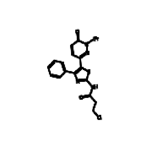 CC(C)n1nc(-c2sc(NC(=O)CCCl)nc2-c2ccccc2)ccc1=O